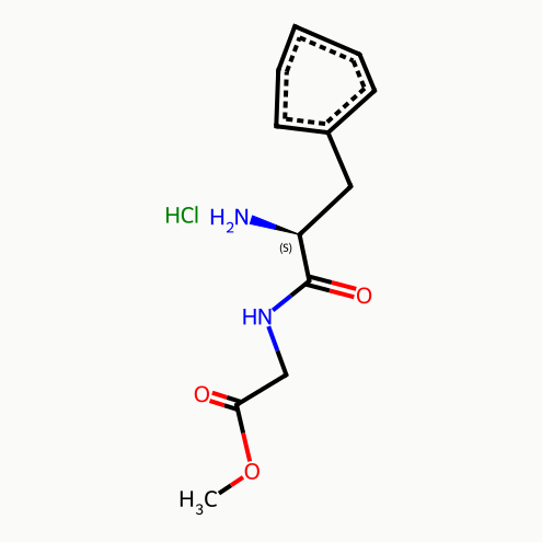 COC(=O)CNC(=O)[C@@H](N)Cc1ccccc1.Cl